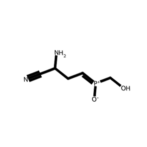 N#CC(N)C/C=[P+](\[O-])CO